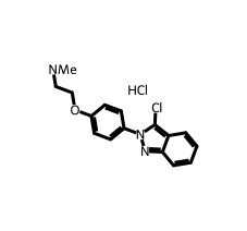 CNCCOc1ccc(-n2nc3ccccc3c2Cl)cc1.Cl